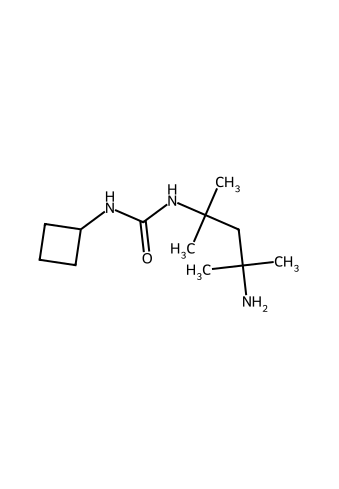 CC(C)(N)CC(C)(C)NC(=O)NC1CCC1